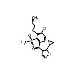 C=CCSc1c(Cl)ccc(C(=O)c2cnoc2C2CC2)c1S(C)(=O)=O